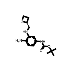 CC(C)(C)OC(=O)Nc1ccc(N)c(NC[C@@H]2CCO2)c1